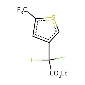 CCOC(=O)C(F)(F)c1csc(C(F)(F)F)c1